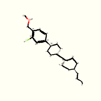 CCC[C@H]1CC[C@H]([C@H]2CC[C@H](c3ccc(COC)c(F)c3)CC2)CC1